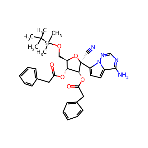 CC(C)(C)[Si](C)(C)OC[C@H]1O[C@@](C#N)(c2ccc3c(N)ncnn23)[C@H](OC(=O)Cc2ccccc2)[C@@H]1OC(=O)Cc1ccccc1